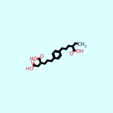 CCC(CCCc1ccc(CCCC(CC(=O)O)C(=O)O)cc1)C(=O)O